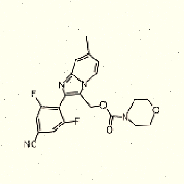 Cc1ccn2c(COC(=O)N3CCOCC3)c(-c3c(F)cc(C#N)cc3F)nc2c1